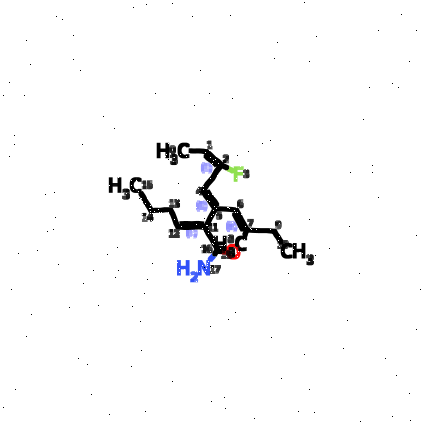 C\C=C(F)/C=C(\C=C(/C)CC)C(=C\CCC)/C(N)=O